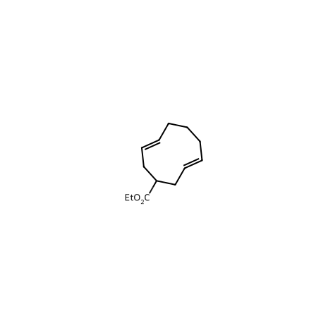 CCOC(=O)C1C/C=C/CCC/C=C/C1